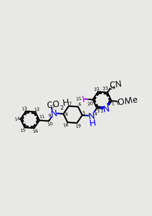 COc1nc(NC2CCC(N(Cc3ccccc3)C(=O)O)CC2)c(I)cc1C#N